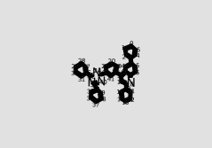 c1ccc(-c2ccc3nc(-c4ccccc4)cc(-c4cccc(-c5nc(-c6ccccc6)nc(-c6ccccc6)n5)c4)c3c2)cc1